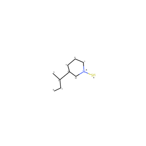 CCC(C)C1CCCN(S)C1